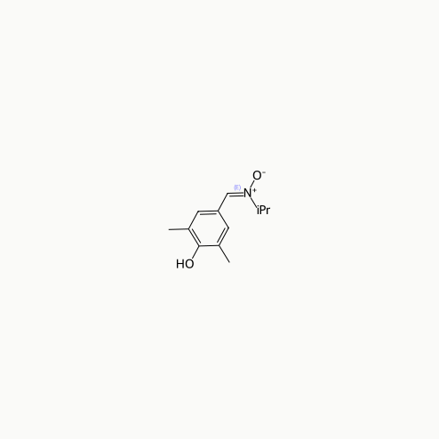 Cc1cc(/C=[N+](/[O-])C(C)C)cc(C)c1O